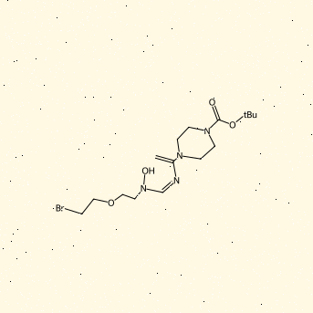 C=C(/N=C\N(O)CCOCCBr)N1CCN(C(=O)OC(C)(C)C)CC1